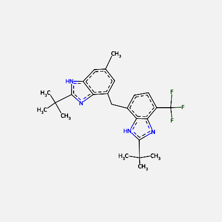 Cc1cc(Cc2ccc(C(F)(F)F)c3nc(C(C)(C)C)[nH]c23)c2nc(C(C)(C)C)[nH]c2c1